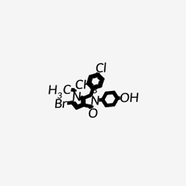 CC(C)n1c(Br)cc2c1C(c1ccc(Cl)cc1)N(C1CCC(O)CC1)C2=O